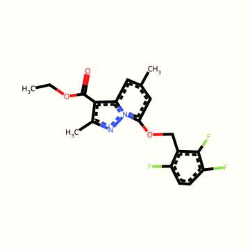 CCOC(=O)c1c(C)nn2c(OCc3c(F)ccc(F)c3F)cc(C)cc12